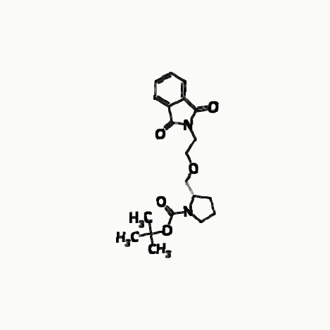 CC(C)(C)OC(=O)N1CCC[C@H]1COCCN1C(=O)c2ccccc2C1=O